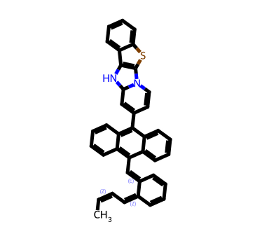 C\C=C/C=c1/cccc/c1=C\c1c2ccccc2c(C2=CC3Nc4c(sc5ccccc45)N3C=C2)c2ccccc12